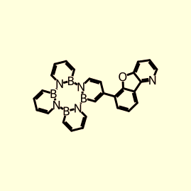 C1=CB2N(C=C1)B1C=CC=CN1B1C=C(c3cccc4c3oc3cccnc34)C=CN1B1C=CC=CN21